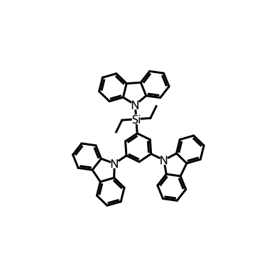 CC[Si](CC)(c1cc(-n2c3ccccc3c3ccccc32)cc(-n2c3ccccc3c3ccccc32)c1)n1c2ccccc2c2ccccc21